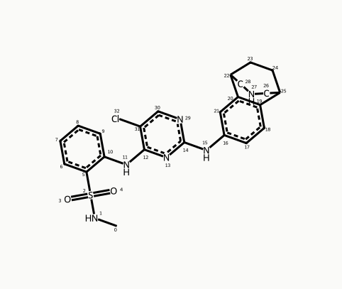 CNS(=O)(=O)c1ccccc1Nc1nc(Nc2ccc3c(c2)C2CCC3CNC2)ncc1Cl